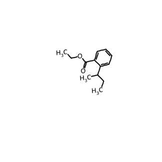 CCOC(=O)c1ccccc1C(C)CC